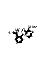 CC(=O)Nc1nccnc1C(=O)O.Cc1ccccc1C(N)=O